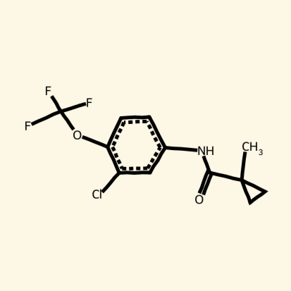 CC1(C(=O)Nc2ccc(OC(F)(F)F)c(Cl)c2)CC1